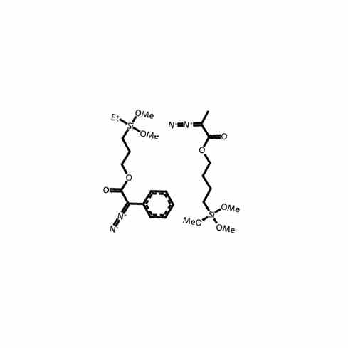 CC[Si](CCCOC(=O)C(=[N+]=[N-])c1ccccc1)(OC)OC.CO[Si](CCCCOC(=O)C(C)=[N+]=[N-])(OC)OC